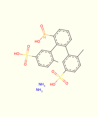 Cc1ccc(S(=O)(=O)O)cc1-c1cccc([PH](=O)O)c1-c1cc(S(=O)(=O)O)ccc1C.N.N